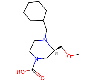 COC[C@H]1CN(C(=O)O)CCN1CC1CCCCC1